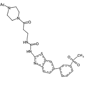 CC(=O)N1CCN(C(=O)CCNC(=O)Nc2nc3ccc(-c4cccc(S(C)(=O)=O)c4)cc3s2)CC1